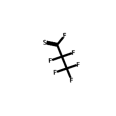 FC(=S)C(F)(F)C(F)(F)F